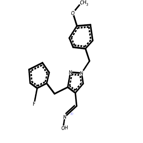 COc1ccc(Cn2cc(/C=N/O)c(Cc3ccccc3F)n2)cc1